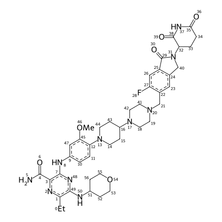 CCc1nc(C(N)=O)c(Nc2ccc(N3CCC(N4CCN(Cc5cc6c(cc5F)C(=O)N(C5CCC(=O)NC5=O)C6)CC4)CC3)c(OC)c2)nc1NC1CCOCC1